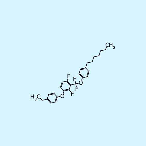 CCCCCCCc1ccc(OC(F)(F)c2c(F)c[c]c(Oc3ccc(CC)cc3)c2F)cc1